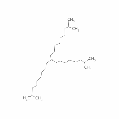 CC(C)CCCCCCC[C](CCCCCCCC(C)C)CCCCCCC(C)C